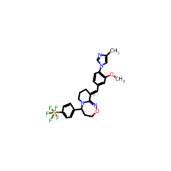 COc1cc(/C=C2\CCCN3C2=NOCCC3c2ccc(S(F)(F)(F)(F)F)cc2)ccc1-n1cnc(C)c1